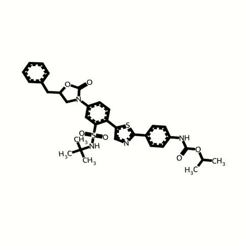 CC(C)OC(=O)Nc1ccc(-c2ncc(-c3ccc(N4CC(Cc5ccccc5)OC4=O)cc3S(=O)(=O)NC(C)(C)C)s2)cc1